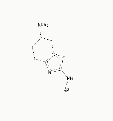 CCCNc1nc2c(s1)CC(NC(C)=O)CC2